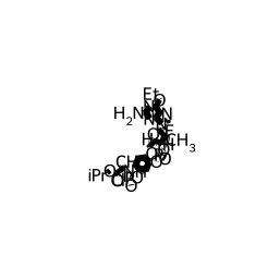 CCOc1nc(N)nc2c1ncn2[C@@H]1O[C@@H]2COP(=O)(Oc3cccc(OP(=O)(Cl)N[C@@H](C)C(=O)OC(C)C)c3)O[C@H]2[C@@]1(C)F